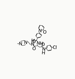 CN1CCN(CCNC(=O)C(CC(=O)Nc2ccc(Cl)cc2)NC(=O)c2ccc(-n3ccccc3=O)cc2)CC1